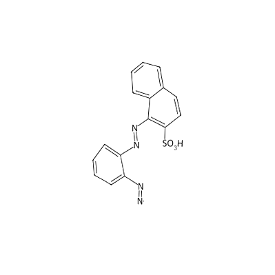 [N]=Nc1ccccc1N=Nc1c(S(=O)(=O)O)ccc2ccccc12